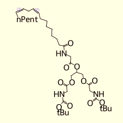 CCCCC/C=C\C/C=C\CCCCCCCC(=O)NCC(=O)OC(COC(=O)CNC(=O)OC(C)(C)C)COC(=O)CNC(=O)OC(C)(C)C